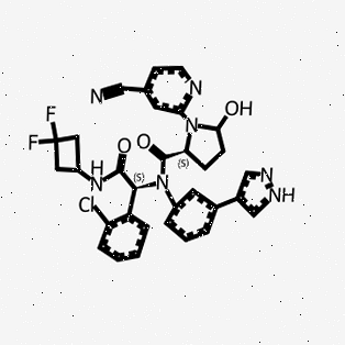 N#Cc1ccnc(N2C(O)CC[C@H]2C(=O)N(c2cccc(-c3cn[nH]c3)c2)[C@H](C(=O)NC2CC(F)(F)C2)c2ccccc2Cl)c1